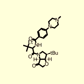 CCC(C)(C)C(NC(=O)c1ccc(N2CCN(C)CC2)cc1)C(=O)N1C[C@@H](C(C)(C)C)[C@H]2OCC(=O)[C@H]21